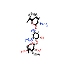 CNC(C)C1CC[C@H](N)C(ONC2CC(N)[C@@H](O[C@H]3OCC(C)(O)[C@@H](NC)[C@H]3O)[C@@H](O)C2)O1